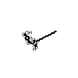 CCCCCCCCCCCCCCN1CC(=O)NC(CNC(=O)c2ccc(C(=O)O)cc2)C1=O